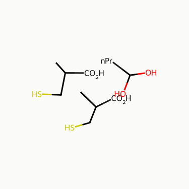 CC(CS)C(=O)O.CC(CS)C(=O)O.CCCC(O)O